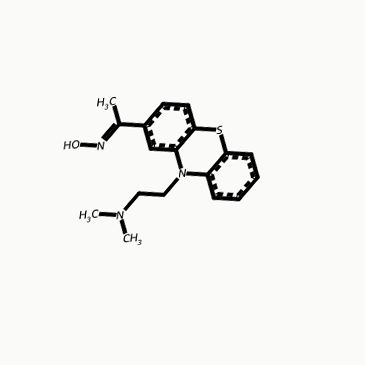 CC(=NO)c1ccc2c(c1)N(CCN(C)C)c1ccccc1S2